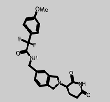 COc1ccc(C(F)(F)C(=O)NCc2ccc3c(c2)CN(C2CCC(=O)NC2=O)C3)cc1